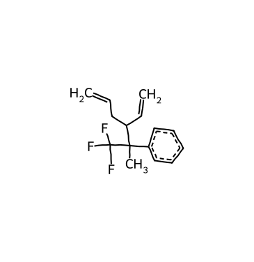 C=CCC(C=C)C(C)(c1ccccc1)C(F)(F)F